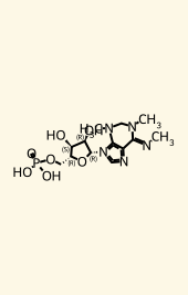 CN=C1c2ncn([C@@H]3O[C@H](COP(=O)(O)O)[C@@H](O)[C@H]3O)c2N(C)CN1C